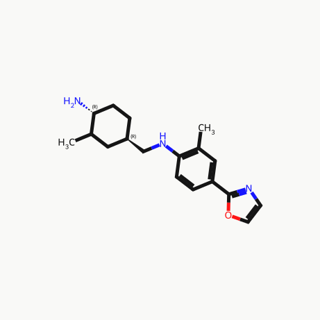 Cc1cc(-c2ncco2)ccc1NC[C@@H]1CC[C@@H](N)C(C)C1